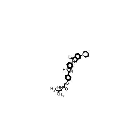 CC(C)CNC(=O)COc1ccc(-c2nc3cc(N4Cc5cc(N6CCCCC6)ccc5C4=O)ccc3[nH]2)cc1